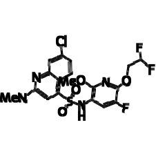 CNc1cc(S(=O)(=O)Nc2cc(F)c(OCC(F)F)nc2OC)c2ccc(Cl)cc2n1